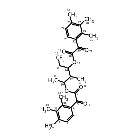 Cc1ccc(C(=O)C(=O)OC(C)C(C)C(CC(F)(F)F)OC(=O)C(=O)c2ccc(C)c(C)c2C)c(C)c1C